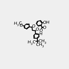 COc1ccc(C(=O)CC(=O)c2ccc(C(C)(C)C)cc2)cc1.O=C(O)c1ccccc1O